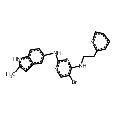 Cc1cc2cc(Nc3ncc(Br)c(NCCc4ccccn4)n3)ccc2[nH]1